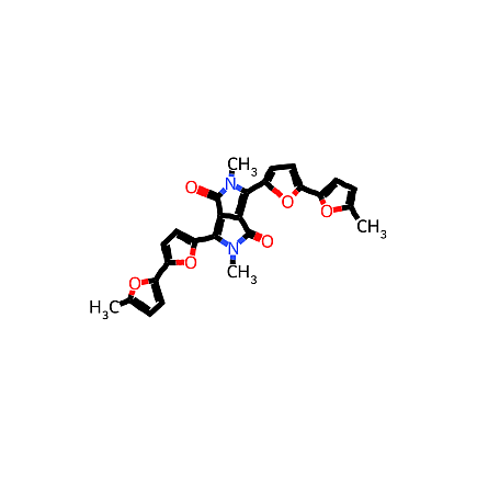 Cc1ccc(-c2ccc(C3=C4C(=O)N(C)C(c5ccc(-c6ccc(C)o6)o5)=C4C(=O)N3C)o2)o1